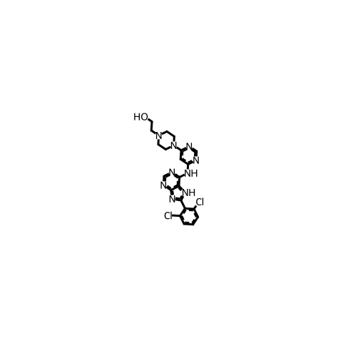 OCCN1CCN(c2cc(Nc3ncnc4nc(-c5c(Cl)cccc5Cl)[nH]c34)ncn2)CC1